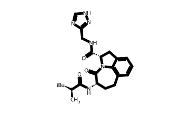 CC[C@H](C)[C@H](C)C(=O)N[C@H]1CCc2cccc3c2N(C1=O)[C@H](C(=O)NCc1nc[nH]n1)C3